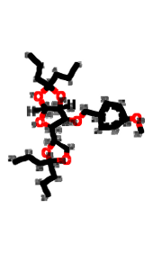 CCCC1(CCC)O[C@H]2O[C@H]([C@H]3COC(CCC)(CCC)O3)[C@H](OCc3ccc(OC)cc3)[C@H]2O1